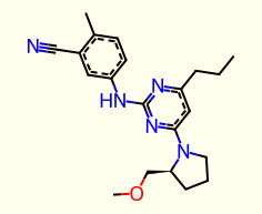 CCCc1cc(N2CCC[C@H]2COC)nc(Nc2ccc(C)c(C#N)c2)n1